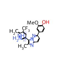 C=C(N)/C(=C\C(=C/N)c1c(C)nc2ccc(-c3ccc(O)c(OC)c3)nn12)C(F)(F)F